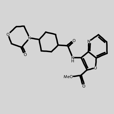 COC(=O)c1oc2cccnc2c1NC(=O)C1CCC(N2CCOCC2=O)CC1